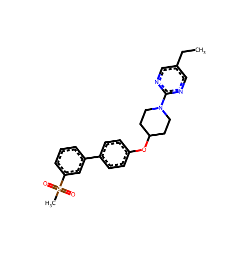 CCc1cnc(N2CCC(Oc3ccc(-c4cccc(S(C)(=O)=O)c4)cc3)CC2)nc1